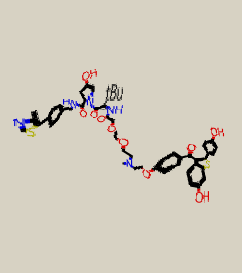 Cc1ncsc1-c1ccc(CNC(=O)C2CC(O)CN2C(=O)[C@@H](NC(=O)COCCOCCN(C)CCOc2ccc(C(=O)c3c(-c4ccc(O)cc4)sc4cc(O)ccc34)cc2)C(C)(C)C)cc1